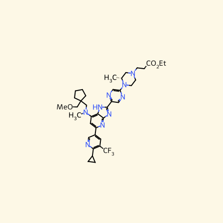 CCOC(=O)CCN1CCN(c2cnc(-c3nc4nc(-c5cnc(C6CC6)c(C(F)(F)F)c5)cc(N(C)CC5(COC)CCCC5)c4[nH]3)cn2)[C@H](C)C1